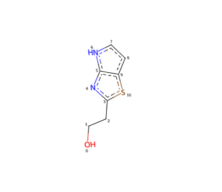 OCCc1nc2[nH]ccc2s1